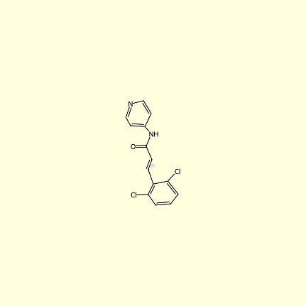 O=C(/C=C/c1c(Cl)cccc1Cl)Nc1ccncc1